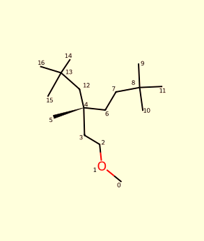 COCC[C@@](C)(CCC(C)(C)C)CC(C)(C)C